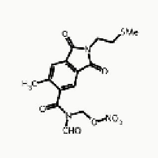 CSCCN1C(=O)c2cc(C)c(C(=O)N(C=O)CO[N+](=O)[O-])cc2C1=O